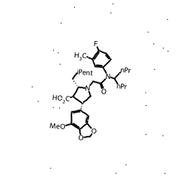 CCCC(C)C[C@H]1[C@H](C(=O)O)[C@@H](c2cc(OC)c3c(c2)OCO3)CN1CC(=O)N(c1ccc(F)c(C)c1)C(CCC)CCC